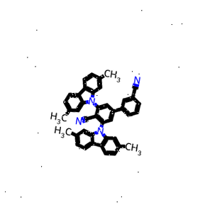 Cc1ccc2c3ccc(C)cc3n(-c3cc(-c4cccc(C#N)c4)cc(-n4c5cc(C)ccc5c5ccc(C)cc54)c3C#N)c2c1